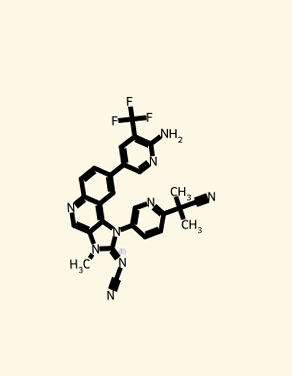 Cn1/c(=N\C#N)n(-c2ccc(C(C)(C)C#N)nc2)c2c3cc(-c4cnc(N)c(C(F)(F)F)c4)ccc3ncc21